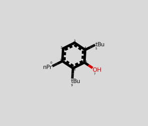 CCCc1ccc(C(C)(C)C)c(O)c1C(C)(C)C